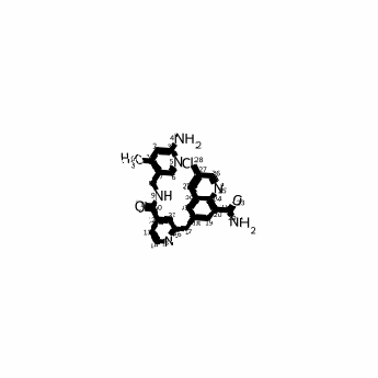 Cc1cc(N)ncc1CNC(=O)c1ccnc(Cc2cc(C(N)=O)c3ncc(Cl)cc3c2)c1